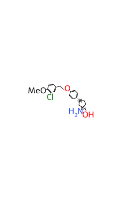 COc1ccc(CCOc2ccc([C@@H]3CC[C@@](N)(CO)C3)cc2)cc1Cl